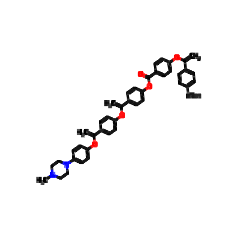 C=C(Oc1ccc(C(=O)Oc2ccc(C(=C)Oc3ccc(C(=C)Oc4ccc(N5CCN(C)CC5)cc4)cc3)cc2)cc1)c1ccc(CCCCCCCCC)cc1